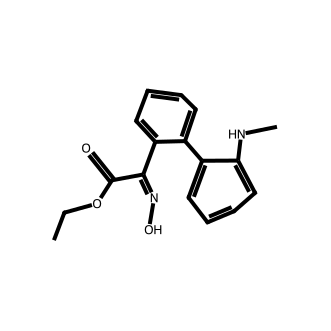 CCOC(=O)C(=NO)c1ccccc1-c1ccccc1NC